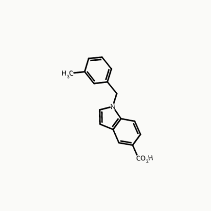 Cc1cccc(Cn2ccc3cc(C(=O)O)ccc32)c1